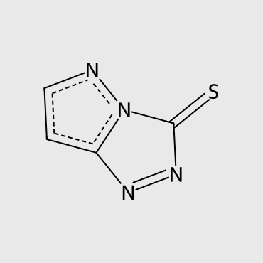 S=C1N=Nc2ccnn21